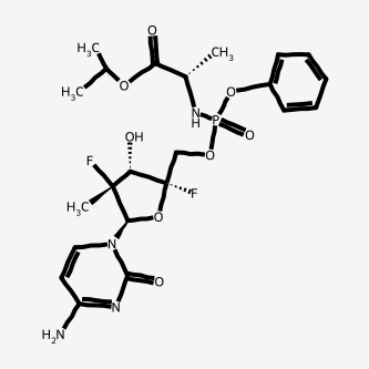 CC(C)OC(=O)[C@H](C)NP(=O)(OC[C@@]1(F)O[C@@H](n2ccc(N)nc2=O)[C@](C)(F)[C@@H]1O)Oc1ccccc1